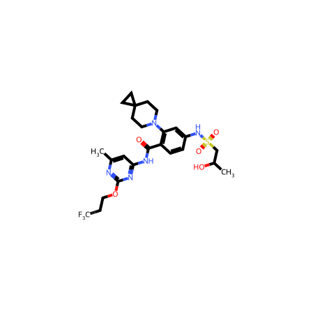 Cc1cc(NC(=O)c2ccc(NS(=O)(=O)CC(C)O)cc2N2CCC3(CC2)CC3)nc(OCCC(F)(F)F)n1